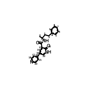 CC(CCc1ccccc1)NC(=O)c1cc(-c2ccncc2)c[nH]c1=O